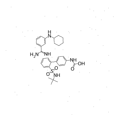 CC(C)(C)NS(=O)(=O)c1ccccc1-c1ccc(NC(=O)O)cc1.N=C(N)c1cccc(NC2CCCCC2)c1